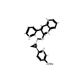 COc1ccc([C@H]2C[C@@H]2COc2nc3cccnc3cc2-c2cccnc2)nc1